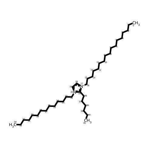 CCCCCCCCCCCCCCCCC[n+]1ccn(CCCCCCCCCCCCCC)c1CCCCCC